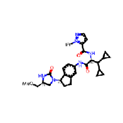 COC[C@@H]1CN([C@@H]2CCc3cc(NC(=O)[C@@H](NC(=O)c4ccnn4C(C)C)C(C4CC4)C4CC4)ccc32)C(=O)N1